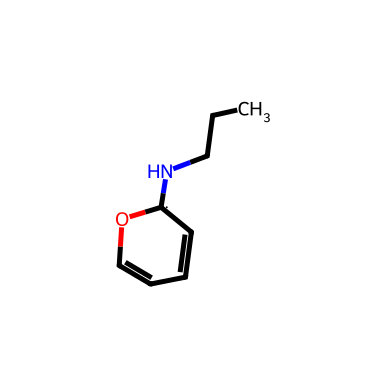 CCCN[C]1C=CC=CO1